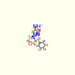 [NH-]c1c[n+](N2CCOCC2Cc2ccccc2)no1